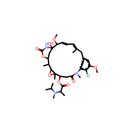 COc1cc2cc(c1Cl)N(C)C(=O)CC(OC(=O)C(C)N(C)C(C)C)C1(C)OC1C(C)C1CC(O)(NC(=O)O1)C(OC)/C=C/C=C(\C)C2